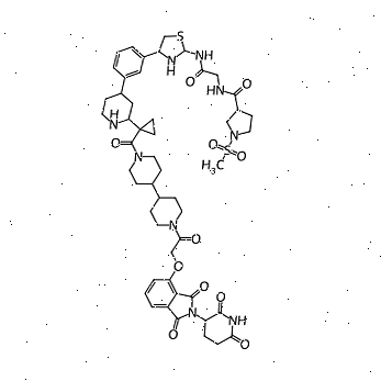 CS(=O)(=O)N1CCC(C(=O)NCC(=O)NC2NC(c3cccc(C4CCNC(C5(C(=O)N6CCC(C7CCN(C(=O)COc8cccc9c8C(=O)N(C8CCC(=O)NC8=O)C9=O)CC7)CC6)CC5)C4)c3)CS2)C1